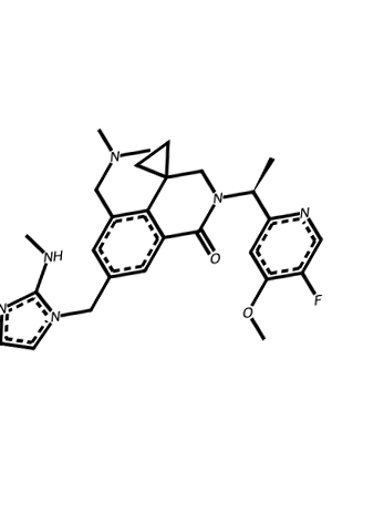 CNc1nccn1Cc1cc(CN(C)C)c2c(c1)C(=O)N([C@@H](C)c1cc(OC)c(F)cn1)CC21CC1